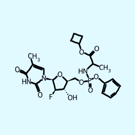 Cc1cn([C@H]2O[C@@H](COP(=O)(NC(C)C(=O)OC3CCC3)Oc3ccccc3)[C@H](O)[C@H]2F)c(=O)[nH]c1=O